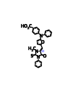 CN1C(=S)N(c2ccccc2)C(=O)/C1=C/c1ccc(N(c2ccccc2)c2ccc(C(=O)O)cc2)o1